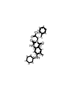 O=C(O)[C@H](Cc1ccccc1)n1c(=O)[nH]c2cc(NC3CCCCC3)c(F)cc2c1=O